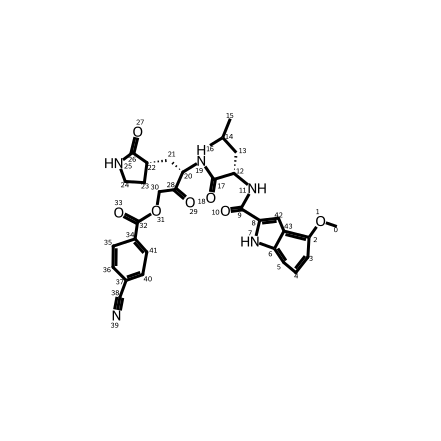 COc1cccc2[nH]c(C(=O)N[C@@H](CC(C)C)C(=O)N[C@@H](C[C@@H]3CCNC3=O)C(=O)COC(=O)c3ccc(C#N)cc3)cc12